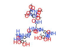 CCNC(=O)C(=N)N(C(=N)c1cc(C(C)C)c(O)cc1O)c1ccc(CN2CCN(C(=O)CCC(=O)N[C@@H](CCCCNC(=O)CC[C@H](C(=O)OC(C)(C)C)N3CCN(CC(=O)OC(C)(C)C)CCN(CC(=O)OC(C)(C)C)CCN(CC(=O)OC(C)(C)C)CC3)C(=O)N3CCN(Cc4ccc(-n5c(C(=O)NCC)nnc5-c5cc(C(C)C)c(O)cc5O)cc4)CC3)CC2)cc1